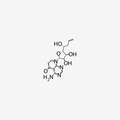 C=CC[C@@H](O)[C@H]1O[C@@H](n2ccc(=O)c3c(N)ncnc32)[C@H](O)[C@@H]1O